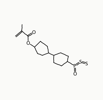 C=C(C)C(=O)OC1CCC(C2CCC(P(=O)=S=S)CC2)CC1